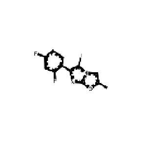 Cc1cn2c(I)c(-c3ccc(F)cc3F)nc2o1